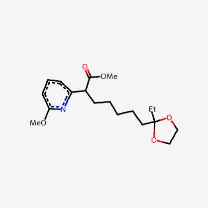 CCC1(CCCCCC(C(=O)OC)c2cccc(OC)n2)OCCO1